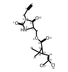 C#CCN1C(=O)NC(COC(=O)C2C(C=C(Cl)Cl)C2(C)C)C1=O